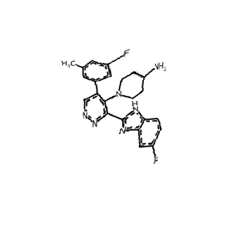 Cc1cc(F)cc(-c2cnnc(-c3nc4cc(F)ccc4[nH]3)c2N2CCC(N)CC2)c1